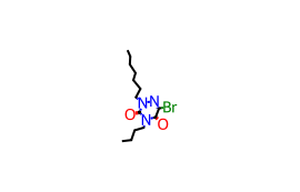 CCCCCCCn1nc(Br)c(=O)n(CCCC)c1=O